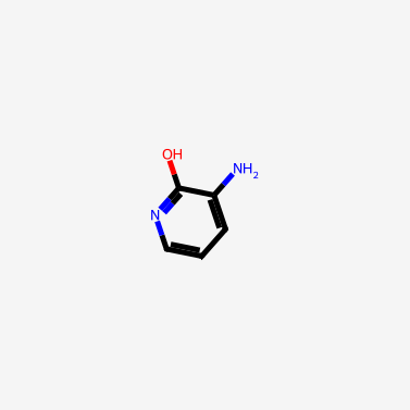 Nc1c[c]cnc1O